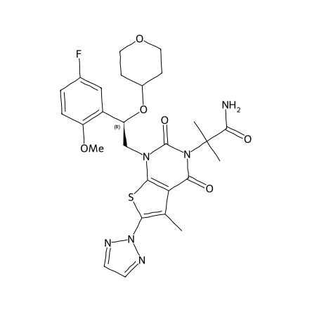 COc1ccc(F)cc1[C@H](Cn1c(=O)n(C(C)(C)C(N)=O)c(=O)c2c(C)c(-n3nccn3)sc21)OC1CCOCC1